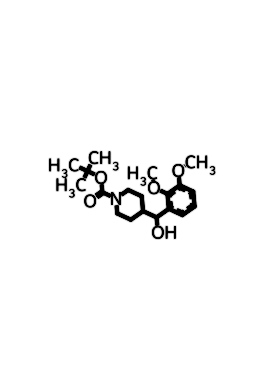 COc1cccc(C(O)C2CCN(C(=O)OC(C)(C)C)CC2)c1OC